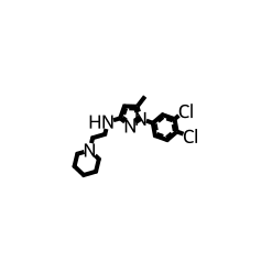 Cc1cc(NCCN2CCCCC2)nn1-c1ccc(Cl)c(Cl)c1